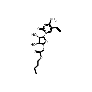 C=Cc1cn([C@@H]2O[C@H](CC(=O)OCCCC)[C@@H](O)[C@H]2O)c(=O)nc1N